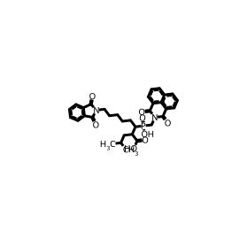 CC(C)CC(C(=O)O)C(CCCCCN1C(=O)c2ccccc2C1=O)P(=O)(O)CN1C(=O)c2cccc3cccc(c23)C1=O